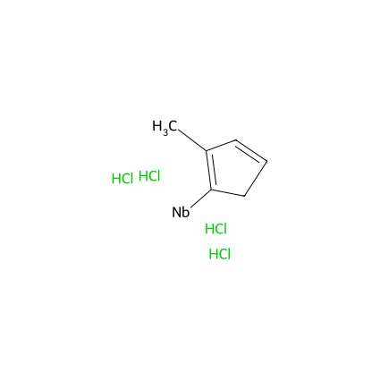 CC1=[C]([Nb])CC=C1.Cl.Cl.Cl.Cl